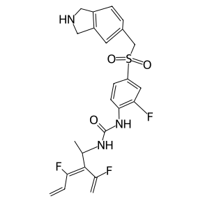 C=C/C(F)=C(\C(=C)F)C(C)NC(=O)Nc1ccc(S(=O)(=O)Cc2ccc3c(c2)CNC3)cc1F